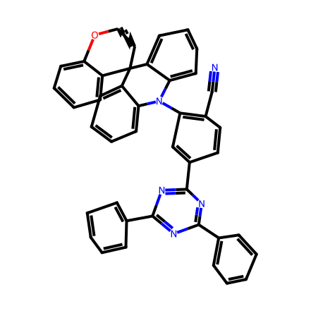 N#Cc1ccc(-c2nc(-c3ccccc3)nc(-c3ccccc3)n2)cc1N1c2ccccc2C2(c3ccccc3Oc3ccccc32)c2ccccc21